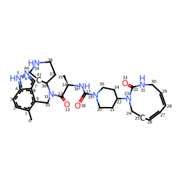 Cc1ccc2[nH]ncc2c1CN(C(=O)[C@@H](C)NC(=O)N1CCC(N2CC/C=C\C=C/CNC2=O)CC1)C1CCNCC1